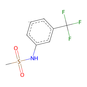 CS(=O)(=O)Nc1c[c]cc(C(F)(F)F)c1